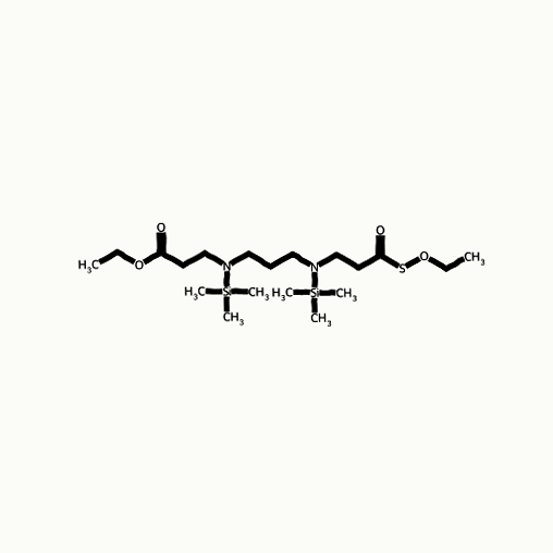 CCOSC(=O)CCN(CCCN(CCC(=O)OCC)[Si](C)(C)C)[Si](C)(C)C